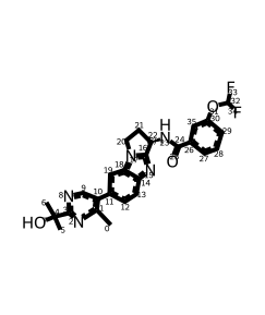 Cc1nc(C(C)(C)O)ncc1-c1ccc2nc3n(c2c1)CC[C@H]3NC(=O)c1cccc(OC(F)F)c1